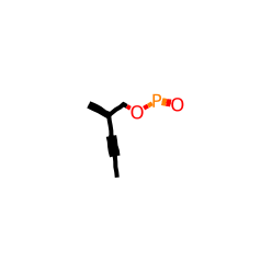 C=C(C#CC)COP=O